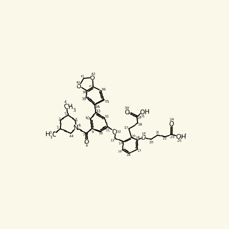 CC1CC(C)CN(C(=O)c2cc(OCc3cccc(OCCCC(=O)O)c3CCC(=O)O)cc(-c3ccc4c(c3)OCO4)c2)C1